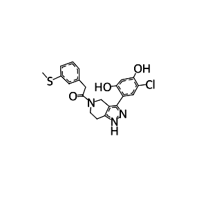 CSc1cccc(CC(=O)N2CCc3[nH]nc(-c4cc(Cl)c(O)cc4O)c3C2)c1